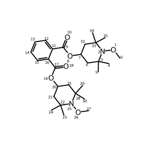 CON1C(C)(C)CC(OC(=O)c2ccccc2C(=O)OC2CC(C)(C)N(OC)C(C)(C)C2)CC1(C)C